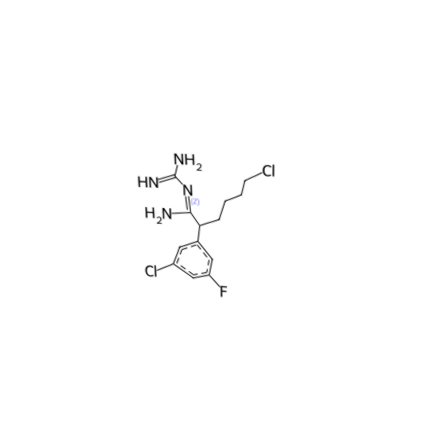 N=C(N)/N=C(\N)C(CCCCCl)c1cc(F)cc(Cl)c1